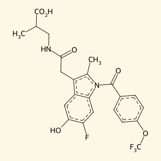 Cc1c(CC(=O)NCC(C)C(=O)O)c2cc(O)c(F)cc2n1C(=O)c1ccc(OC(F)(F)F)cc1